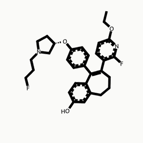 CCOc1ccc(C2=C(c3ccc(O[C@H]4CCN(CCCF)C4)cc3)c3ccc(O)cc3CCC2)c(F)n1